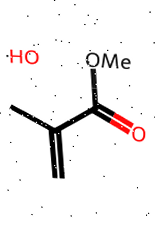 C=C(C)C(=O)OC.[OH]